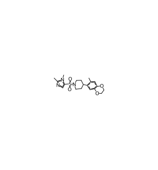 Cc1cc2c(cc1C1CCN(S(=O)(=O)c3cnc(C)n3C)CC1)OCCO2